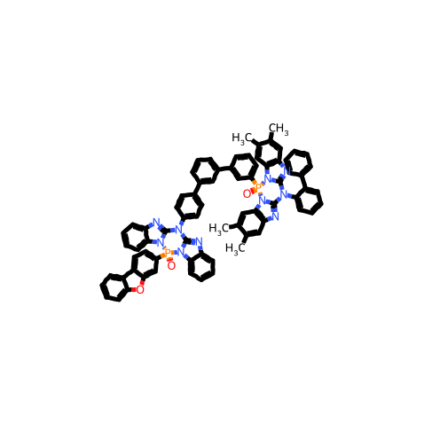 Cc1cc2nc3n(c2cc1C)P(=O)(c1cccc(-c2cccc(-c4ccc(N5c6nc7ccccc7n6P(=O)(c6ccc7c(c6)oc6ccccc67)n6c5nc5ccccc56)cc4)c2)c1)n1c(nc2cc(C)c(C)cc21)N3c1ccccc1-c1ccccc1